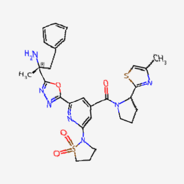 Cc1csc(C2CCCN2C(=O)c2cc(-c3nnc([C@](C)(N)Cc4ccccc4)o3)nc(N3CCCS3(=O)=O)c2)n1